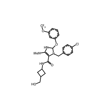 CNC1=C(C(=O)NC2CC(CO)C2)N(Cc2ccc(Cl)cc2)C(Oc2cccc(OC(F)(F)F)c2)N1